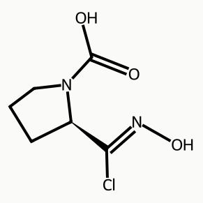 O=C(O)N1CCC[C@@H]1/C(Cl)=N/O